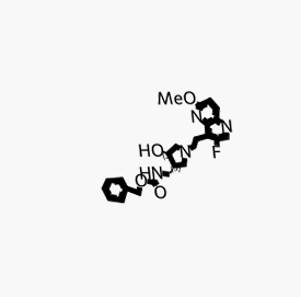 COc1ccc2ncc(F)c(CCN3C[C@H](CNC(=O)OCc4ccccc4)[C@H](O)C3)c2n1